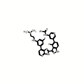 CC(C)C(=O)Nc1cncc(-c2ccc3[nH]nc(-c4nc5c(-c6cc(F)cc(NCCN(C)C)c6)ccnc5[nH]4)c3c2F)c1